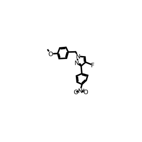 COc1ccc(Cn2cc(F)c(-c3ccc([N+](=O)[O-])cc3)n2)cc1